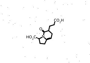 O=C(O)CCC1CC=C2CCC(C(=O)O)N2C1=O